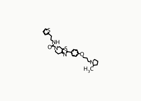 CC1CCCN1CCCOc1ccc(-c2nc3c(s2)CN(C(=O)NCCc2cccs2)CC3)cc1